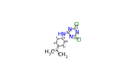 C=C(C)c1ccc(Nc2nc(Cl)nc(Cl)n2)cc1